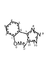 COc1ccccc1-c1nnnn1C